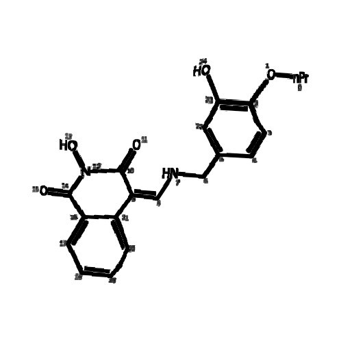 CCCOc1ccc(CN/C=C2\C(=O)N(O)C(=O)c3ccccc32)cc1O